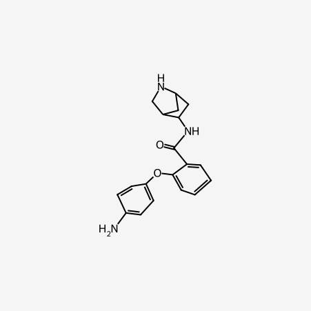 Nc1ccc(Oc2ccccc2C(=O)NC2CC3CC2CN3)cc1